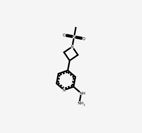 CS(=O)(=O)N1CC(c2ccnc(NN)c2)C1